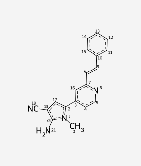 Cn1c(-c2ccnc(/C=C/c3ccccc3)c2)cc(C#N)c1N